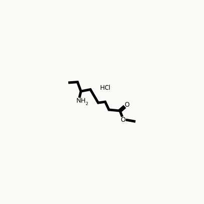 CCC(N)CCCCC(=O)OC.Cl